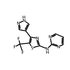 FC(F)(F)c1sc(Nc2ncccn2)nc1-c1cn[nH]c1